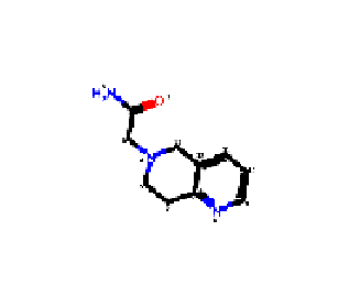 NC(=O)CN1CCc2ncccc2C1